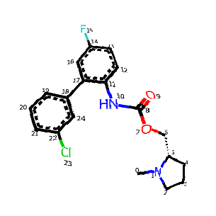 CN1CCC[C@H]1COC(=O)Nc1ccc(F)cc1-c1cccc(Cl)c1